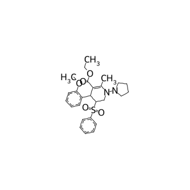 CCOC(=O)C1=C(C)N(N2CCCC2)CC(S(=O)(=O)c2ccccc2)C1c1ccccc1OC